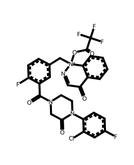 O=C1C=N[N+](Cc2ccc(F)c(C(=O)N3CCN(c4ccc(F)cc4Cl)C(=O)C3)c2)(OC(=O)C(F)(F)F)c2ccccc21